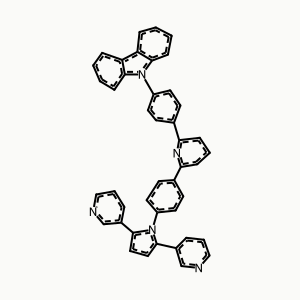 c1cncc(-c2ccc(-c3cccnc3)n2-c2ccc(-c3cccc(-c4ccc(-n5c6ccccc6c6ccccc65)cc4)n3)cc2)c1